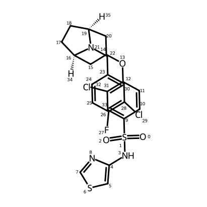 O=S(=O)(Nc1cscn1)c1ccc(OC2C[C@H]3CC[C@@H](C2)N3Cc2ccc(F)c(Cl)c2)c(Cl)c1